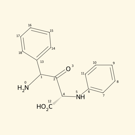 NC(C(=O)[C@H](Nc1ccccc1)C(=O)O)c1ccccc1